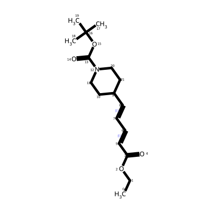 CCOC(=O)/C=C/C=C/C1CCN(C(=O)OC(C)(C)C)CC1